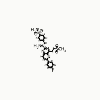 CS(=O)(=O)CCc1nc(N(N)Cc2ccc(S(N)(=O)=O)cc2)nc2ccc(-c3ccc(F)cc3)nc12